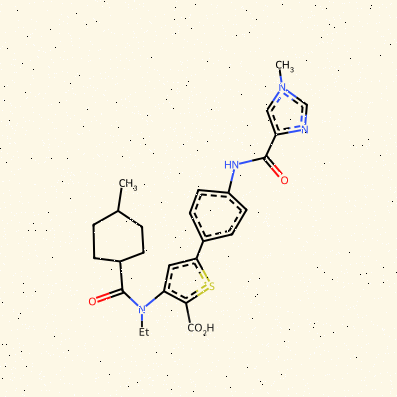 CCN(C(=O)C1CCC(C)CC1)c1cc(-c2ccc(NC(=O)c3cn(C)cn3)cc2)sc1C(=O)O